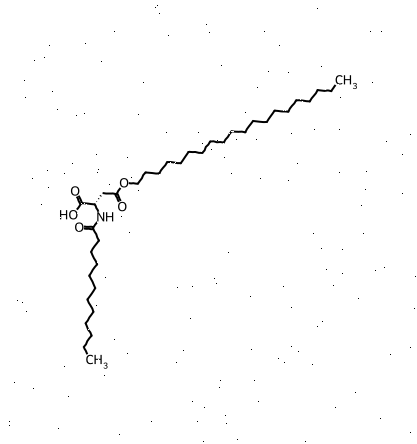 CCCCCCCCCCCCCCCCCCCCOC(=O)C[C@H](NC(=O)CCCCCCCCCCC)C(=O)O